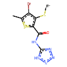 Cc1sc(C(=O)Nc2nnn[nH]2)c(SC(C)C)c1Br